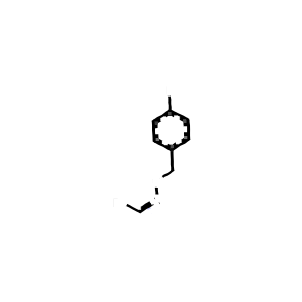 CC/[C]=N\OCc1ccc(CC)cc1